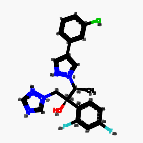 C[C@@H](n1cc(-c2cccc(Cl)c2)cn1)[C@](O)(Cn1cncn1)c1ccc(F)cc1F